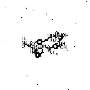 Cc1ncsc1-c1ccc([C@H](C)NC(=O)[C@@H]2C[C@H](O)CN2C(=O)[C@@H](NC(=O)CCCCc2ccc(CO[C@H](C)[C@H](CCC(N)=O)NC(=O)[C@@H]3Cc4cccc5c4N3C(=O)[C@@H](N)CC5)cc2)C(C)(C)C)cc1